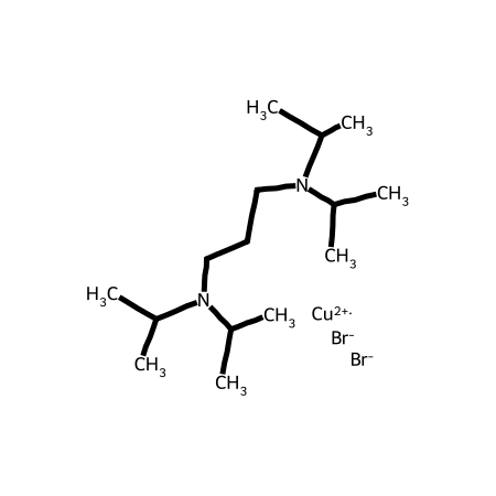 CC(C)N(CCCN(C(C)C)C(C)C)C(C)C.[Br-].[Br-].[Cu+2]